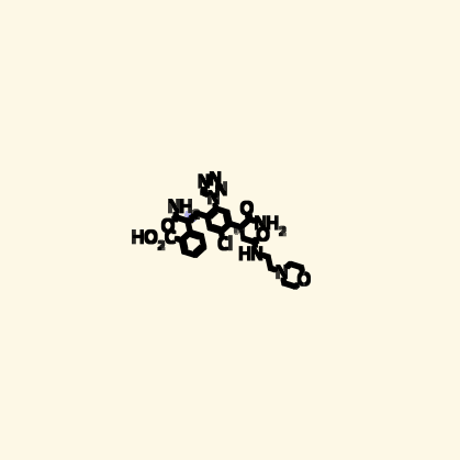 NC(=O)/C(=C/c1cc(Cl)c([C@H](CC(=O)NCCN2CCOCC2)C(N)=O)cc1-n1cnnn1)c1ccccc1C(=O)O